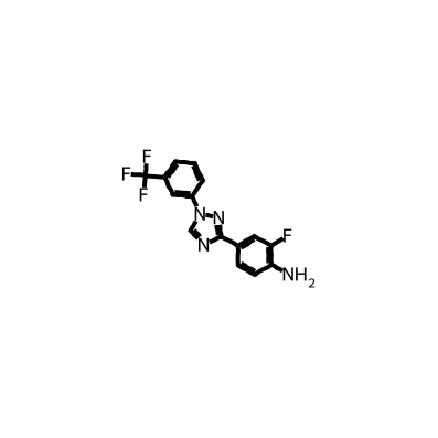 Nc1ccc(-c2ncn(-c3cccc(C(F)(F)F)c3)n2)cc1F